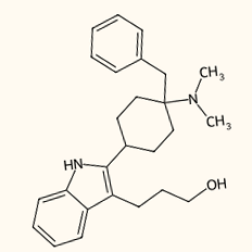 CN(C)C1(Cc2ccccc2)CCC(c2[nH]c3ccccc3c2CCCO)CC1